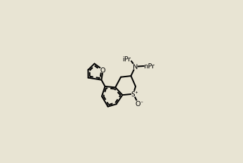 CCCN(C(C)C)C1Cc2c(-c3ccco3)cccc2[S+]([O-])C1